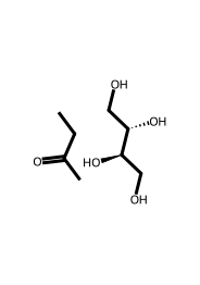 CCC(C)=O.OC[C@@H](O)[C@@H](O)CO